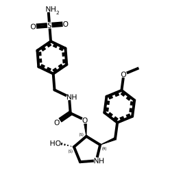 COc1ccc(C[C@H]2NC[C@H](O)[C@H]2OC(=O)NCc2ccc(S(N)(=O)=O)cc2)cc1